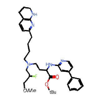 COCC(F)CN(CCCCc1ccc2c(n1)NCCC2)CCC(Nc1cc(-c2ccccc2)ccn1)C(=O)OC(C)(C)C